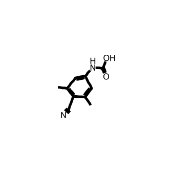 Cc1cc(NC(=O)O)cc(C)c1C#N